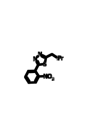 CC(C)Cc1nnc(-c2ccccc2[N+](=O)[O-])s1